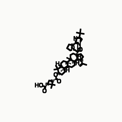 C=C(C)[C@@H]1CC[C@]2(C(=O)N3CCC[C@H]3c3nc(C(C)(C)C)c[nH]3)CC[C@]3(C)[C@H](CC[C@@H]4[C@@]5(C)CC[C@H](OC(=O)[C@H]6C[C@@H](C(=O)O)C6(C)C)C(C)(C)[C@@H]5CC[C@]43C)[C@@H]12